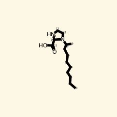 CCCCCCCCC(C)N1CCNC1C(=O)O